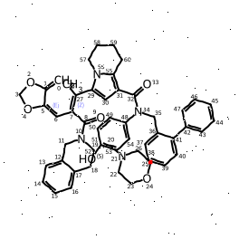 C=C1OCO/C1=C/C(C(=O)N1Cc2ccccc2C[C@H]1CN1CCOCC1)=C(\C)c1cc(C(=O)N(Cc2ccccc2-c2ccccc2)c2ccc(O)cc2)c2n1CCCC2